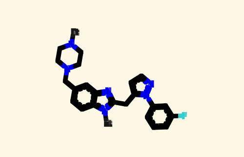 CCN1CCN(Cc2ccc3c(c2)nc(Cc2ccnn2-c2cccc(F)c2)n3CC)CC1